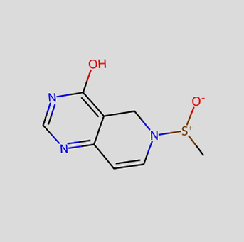 C[S+]([O-])N1C=Cc2ncnc(O)c2C1